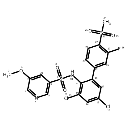 COc1cncc(S(=O)(=O)Nc2c(Cl)cc(Cl)cc2-c2ccc(S(C)(=O)=O)c(F)c2)c1